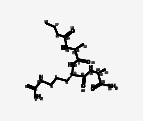 C=C(N)NCCC[C@H](NC(=O)[C@H](C)NC(=O)CCC)C(=O)N[C@@H](C)C(N)=O